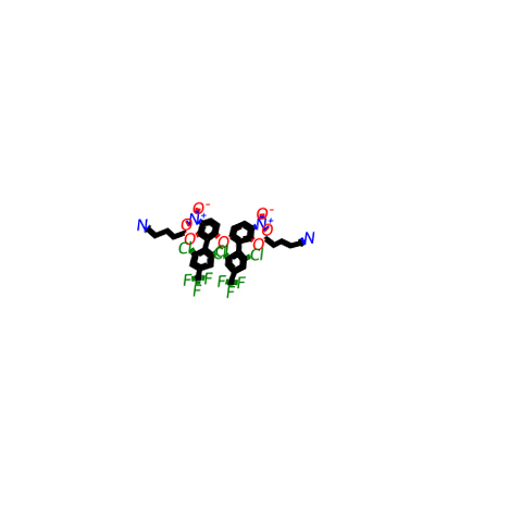 N#CCCCCOc1c([N+](=O)[O-])ccc(Oc2ccc([N+](=O)[O-])c(OCCCCC#N)c2-c2c(Cl)cc(C(F)(F)F)cc2Cl)c1-c1c(Cl)cc(C(F)(F)F)cc1Cl